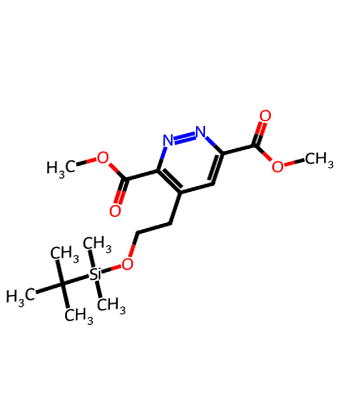 COC(=O)c1cc(CCO[Si](C)(C)C(C)(C)C)c(C(=O)OC)nn1